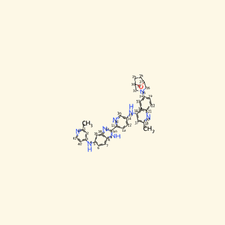 Cc1cc(Nc2ccc3[nH]c(-c4ccc(Nc5cc(C)nc6ccc(N7CC8CCC(C7)O8)cc56)cn4)nc3c2)ccn1